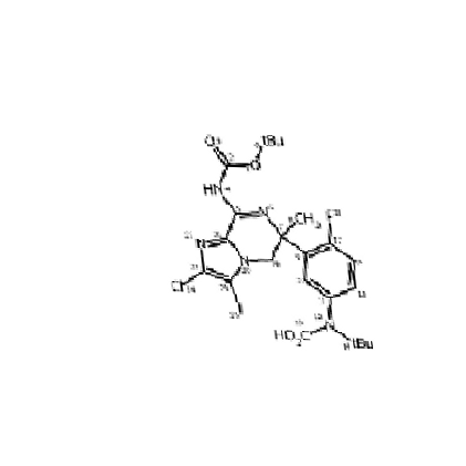 CC(C)(C)OC(=O)NC1=NC(C)(c2cc(N(C(=O)O)C(C)(C)C)ccc2F)Cn2c1nc(Cl)c2I